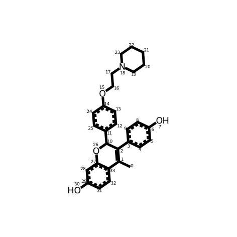 CC1=C(c2ccc(O)cc2)C(c2ccc(OCCN3CCCCC3)cc2)Oc2cc(O)ccc21